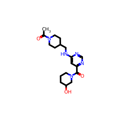 CC(=O)N1CCC(CNc2cc(C(=O)N3CCCC(O)C3)ncn2)CC1